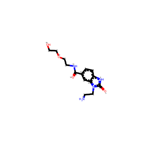 NCCn1c(=O)[nH]c2ccc(C(=O)NCCOCCO)cc21